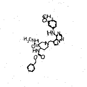 CNC(=O)[C@H]1CN(Cc2ccn3ncnc(Nc4cccc(OC)c4)c23)CCC1NC(=O)OCc1ccccc1